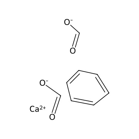 O=C[O-].O=C[O-].[Ca+2].c1ccccc1